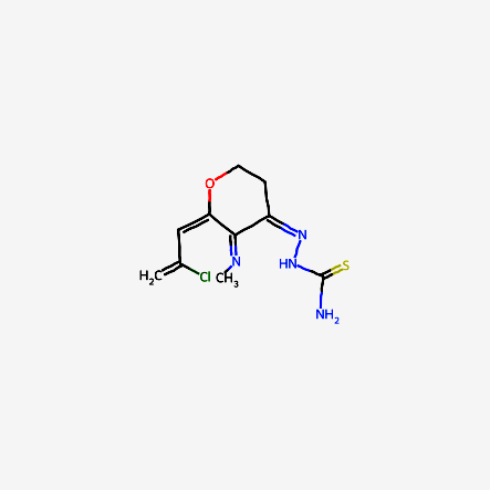 C=C(Cl)/C=C1/OCCC(=N/NC(N)=S)/C1=N/C